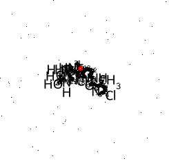 Cc1cc(Cl)cnc1C(=O)Nc1ccc(F)c([C@@]2(C)N=C(NC(=O)O)C(C)(C)[S@]3(O)NCC[C@H]23)n1